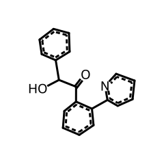 O=C(c1ccccc1-c1ccccn1)C(O)c1ccccc1